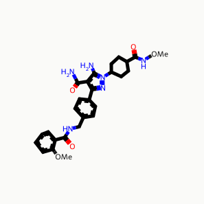 CONC(=O)C1CCC(n2nc(-c3ccc(CNC(=O)c4ccccc4OC)cc3)c(C(N)=O)c2N)CC1